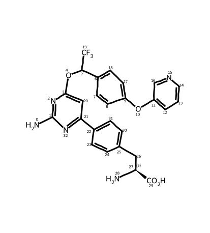 Nc1nc(OC(c2ccc(Oc3cccnc3)cc2)C(F)(F)F)cc(-c2ccc(C[C@H](N)C(=O)O)cc2)n1